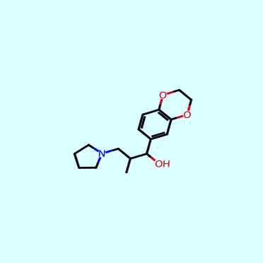 CC(CN1CCCC1)C(O)c1ccc2c(c1)OCCO2